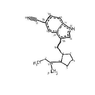 CCN(C)C1CCCC1Cc1c[nH]c2ccc(C#N)cc12